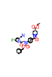 CCOC(=O)C1CCN(C(=O)C23CCC(N(CC(=O)N4C[C@@H](F)C[C@H]4C#N)C(=O)OCc4ccccc4)(CC2)CC3)CC1